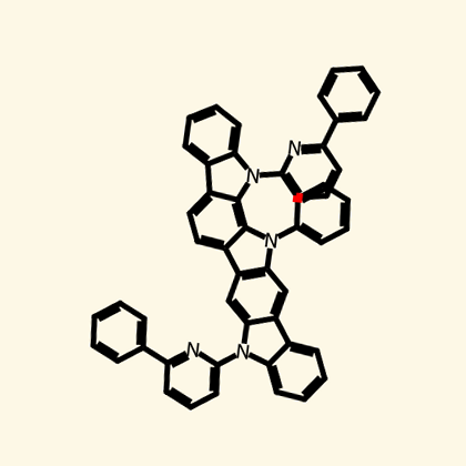 c1ccc(-c2cccc(-n3c4ccccc4c4cc5c(cc43)c3ccc4c6ccccc6n(-c6cccc(-c7ccccc7)n6)c4c3n5-c3ccccc3)n2)cc1